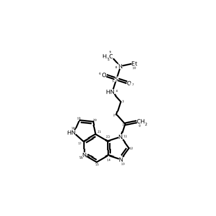 C=C(CCNS(=O)(=O)N(C)CC)n1cnc2cnc3[nH]ccc3c21